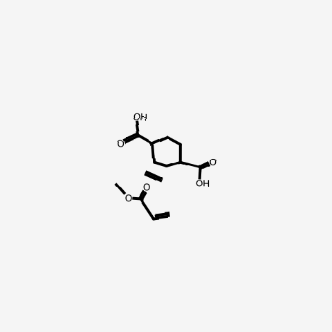 C=C.C=CC(=O)OC.O=C(O)C1CCC(C(=O)O)CC1